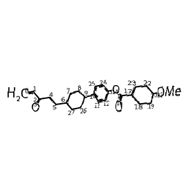 C=CC(=O)CCC1CCC(c2ccc(OC(=O)C3CCC(OC)CC3)cc2)CC1